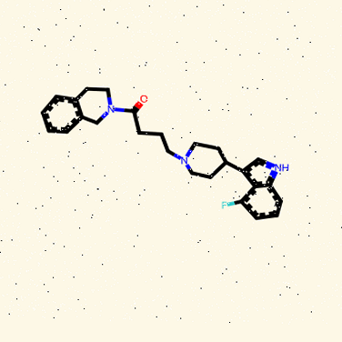 O=C(CCCN1CCC(c2c[nH]c3cccc(F)c23)CC1)N1CCc2ccccc2C1